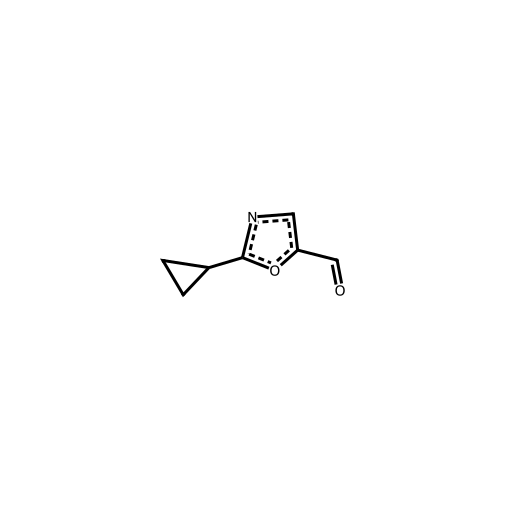 O=Cc1cnc(C2CC2)o1